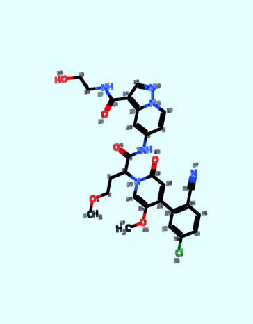 COCCC(C(=O)Nc1ccn2ncc(C(=O)NCCO)c2c1)n1cc(OC)c(-c2cc(Cl)ccc2C#N)cc1=O